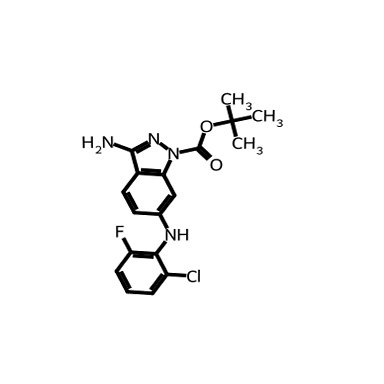 CC(C)(C)OC(=O)n1nc(N)c2ccc(Nc3c(F)cccc3Cl)cc21